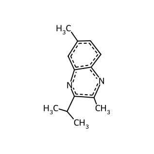 Cc1ccc2nc(C)c(C(C)C)nc2c1